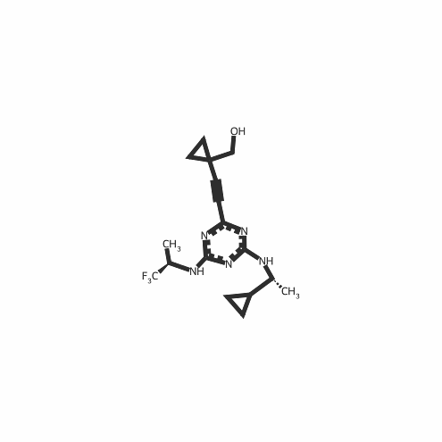 C[C@@H](Nc1nc(C#CC2(CO)CC2)nc(N[C@H](C)C(F)(F)F)n1)C1CC1